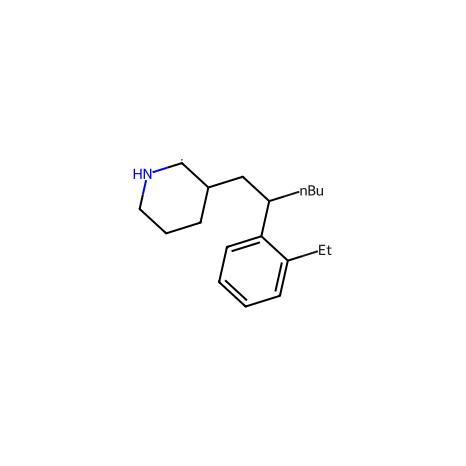 CCCCC(CC1[CH]NCCC1)c1ccccc1CC